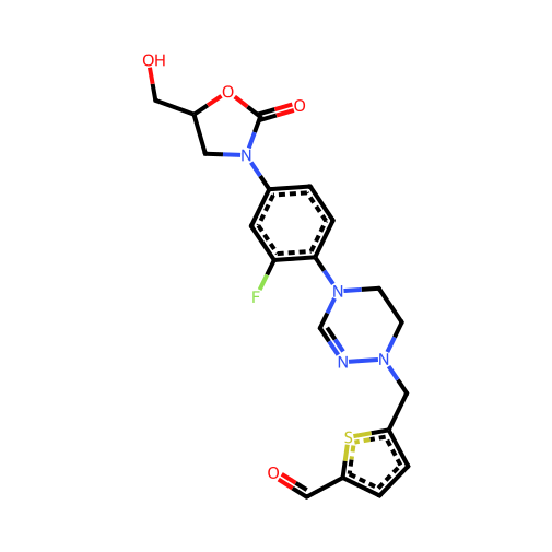 O=Cc1ccc(CN2CCN(c3ccc(N4CC(CO)OC4=O)cc3F)C=N2)s1